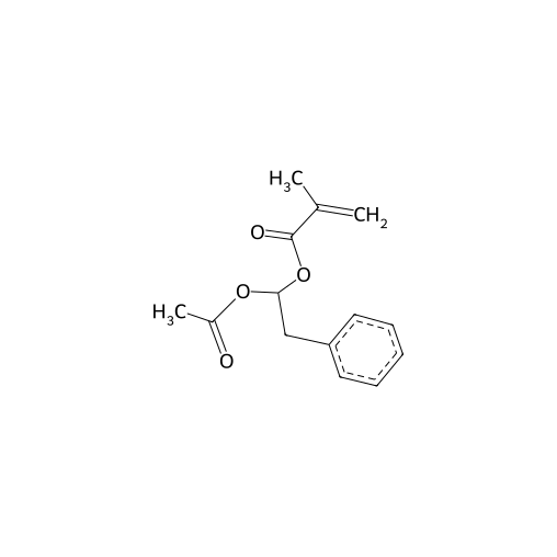 C=C(C)C(=O)OC(Cc1ccccc1)OC(C)=O